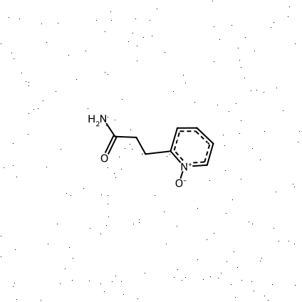 NC(=O)C[CH]c1cccc[n+]1[O-]